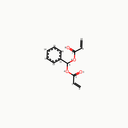 C=CC(=O)OC(OC(=O)C=C)c1ccccc1